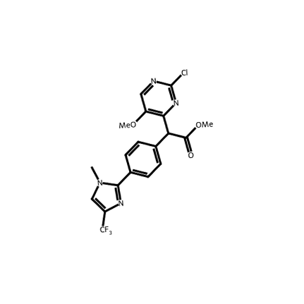 COC(=O)C(c1ccc(-c2nc(C(F)(F)F)cn2C)cc1)c1nc(Cl)ncc1OC